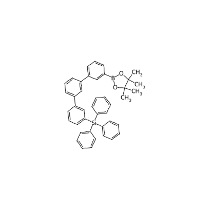 CC1(C)OB(c2cccc(-c3cccc(-c4cccc([Si](c5ccccc5)(c5ccccc5)c5ccccc5)c4)c3)c2)OC1(C)C